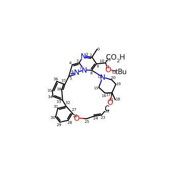 Cc1nc2cc3nn2c(c1[C@H](OC(C)(C)C)C(=O)O)N1CCC(C)(CC1)OC/C=C/COc1ccccc1-c1cccc-3c1